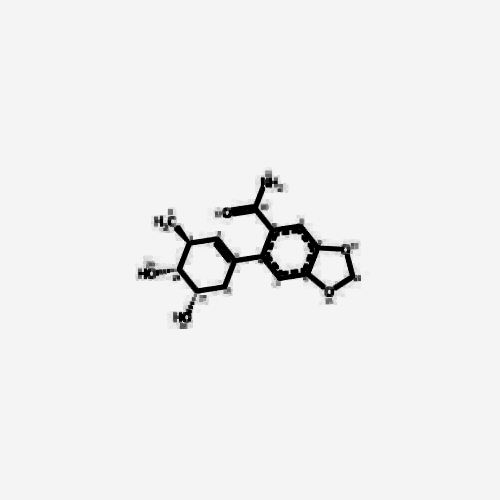 C[C@H]1C=C(c2cc3c(cc2C(N)=O)OCO3)C[C@H](O)[C@@H]1O